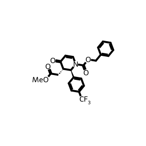 COC(=O)C[C@@H]1C(=O)C=CN(C(=O)OCc2ccccc2)[C@H]1c1ccc(C(F)(F)F)cc1